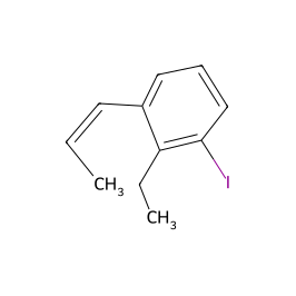 C/C=C\c1cccc(I)c1CC